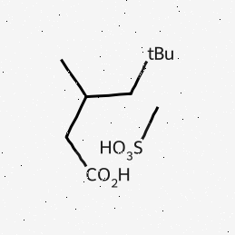 CC(CC(=O)O)CC(C)(C)C.CS(=O)(=O)O